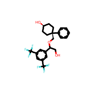 OCC(OC[C@]1(c2ccccc2)CC[C@H](O)CC1)c1cc(C(F)(F)F)cc(C(F)(F)F)c1